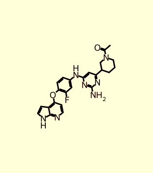 CC(=O)N1CCCC(c2cc(Nc3ccc(Oc4ccnc5[nH]ccc45)c(F)c3)nc(N)n2)C1